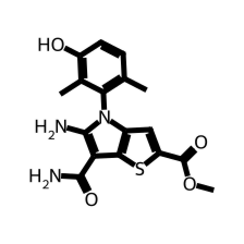 COC(=O)c1cc2c(s1)c(C(N)=O)c(N)n2-c1c(C)ccc(O)c1C